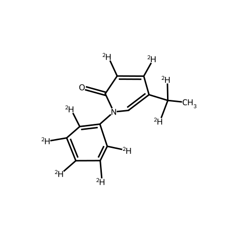 [2H]c1c([2H])c([2H])c(-n2cc(C([2H])([2H])C)c([2H])c([2H])c2=O)c([2H])c1[2H]